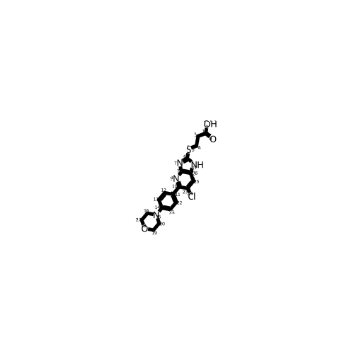 O=C(O)CCSc1nc2nc(-c3ccc(N4CCOCC4)cc3)c(Cl)cc2[nH]1